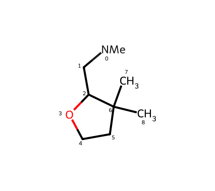 CNCC1OCCC1(C)C